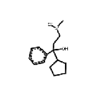 C[S+]([O-])CCC(O)(c1ccccc1)C1CCCC1